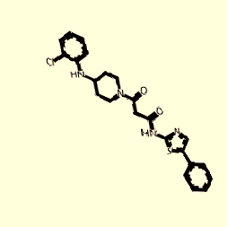 O=C(CC(=O)N1CCC(Nc2ccccc2Cl)CC1)Nc1ncc(-c2ccccc2)s1